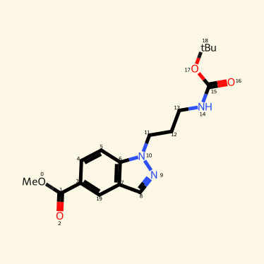 COC(=O)c1ccc2c(cnn2CCCNC(=O)OC(C)(C)C)c1